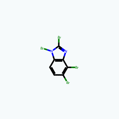 Brc1ccc2c(nc(Br)n2Br)c1Br